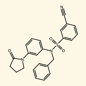 N#Cc1cccc(S(=O)(=O)N(Cc2ccccc2)c2cccc(N3CCCC3=O)c2)c1